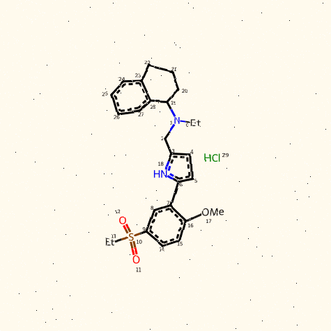 CCN(Cc1ccc(-c2cc(S(=O)(=O)CC)ccc2OC)[nH]1)C1CCCc2ccccc21.Cl